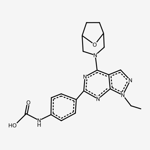 CCn1ncc2c(N3CC4CCC(C3)O4)nc(-c3ccc(NC(=O)O)cc3)nc21